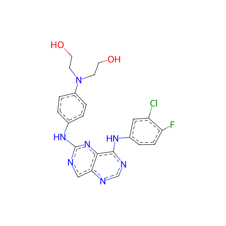 OCCN(CCO)c1ccc(Nc2ncc3ncnc(Nc4ccc(F)c(Cl)c4)c3n2)cc1